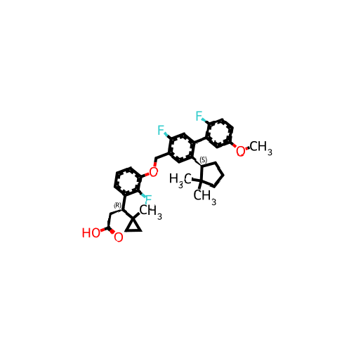 COc1ccc(F)c(-c2cc(F)c(COc3cccc([C@H](CC(=O)O)C4(C)CC4)c3F)cc2[C@H]2CCCC2(C)C)c1